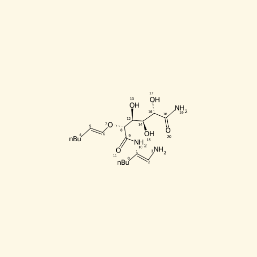 CCCC/C=C/N.CCCC/C=C/O[C@@H](C(N)=O)[C@@H](O)[C@H](O)[C@H](O)C(N)=O